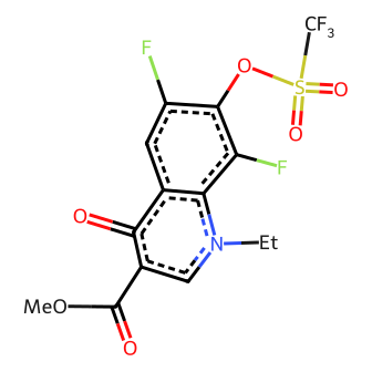 CCn1cc(C(=O)OC)c(=O)c2cc(F)c(OS(=O)(=O)C(F)(F)F)c(F)c21